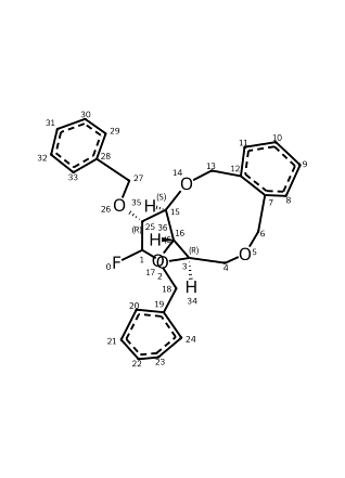 FC1O[C@@H]2COCc3ccccc3CO[C@@H]([C@H]2OCc2ccccc2)[C@H]1OCc1ccccc1